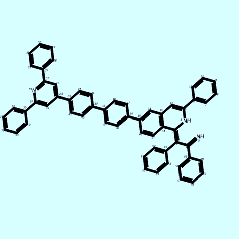 N=C(/C(=C1\NC(c2ccccc2)=Cc2cc(-c3ccc(-c4ccc(-c5cc(-c6ccccc6)nc(-c6ccccc6)c5)cc4)cc3)ccc21)c1ccccc1)c1ccccc1